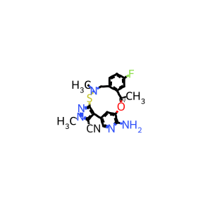 C[C@H]1Oc2cc(cnc2N)-c2c(nn(C)c2C#N)SN(C)Cc2ccc(F)cc21